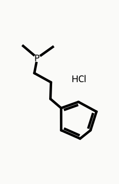 CP(C)CCCc1ccccc1.Cl